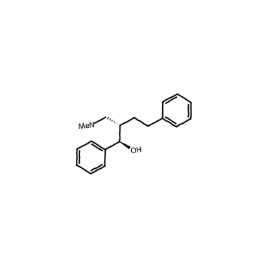 CNC[C@H](CCc1ccccc1)[C@@H](O)c1ccccc1